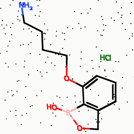 Cl.NCCCCOc1cccc2c1B(O)OC2